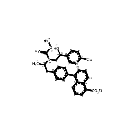 CCOC(=O)c1cccc2c(-c3ccc(C[C@@H](C)N(C[C@@H](O)c4ccc(Cl)nc4)C(=O)OC(C)(C)C)cc3)cccc12